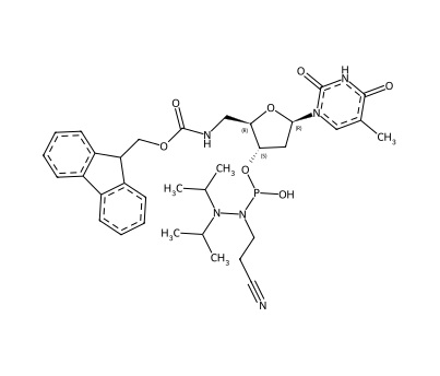 Cc1cn([C@H]2C[C@H](OP(O)N(CCC#N)N(C(C)C)C(C)C)[C@@H](CNC(=O)OCC3c4ccccc4-c4ccccc43)O2)c(=O)[nH]c1=O